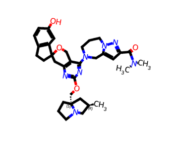 C[C@H]1CN2CCC[C@@]2(COc2nc3c(c(N4CCCn5nc(C(=O)N(C)C)cc5C4)n2)COC2(CCc4ccc(O)cc42)C3)C1